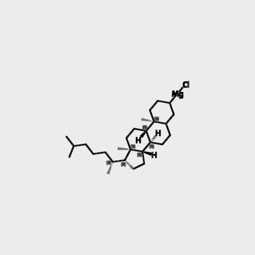 CC(C)CCC[C@@H](C)[C@H]1CC[C@H]2[C@@H]3CCC4C[CH]([Mg][Cl])CC[C@]4(C)[C@H]3CC[C@]12C